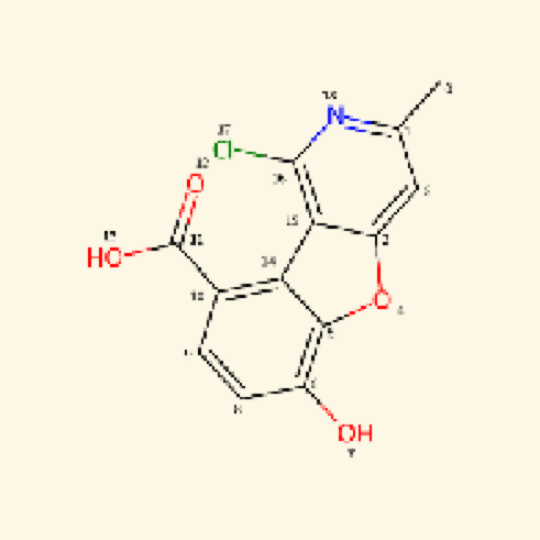 Cc1cc2oc3c(O)ccc(C(=O)O)c3c2c(Cl)n1